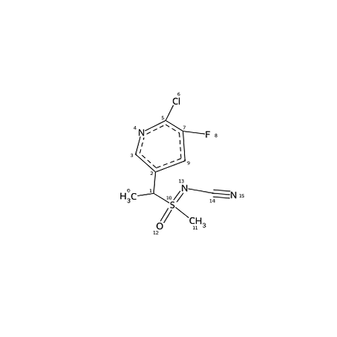 CC(c1cnc(Cl)c(F)c1)S(C)(=O)=NC#N